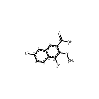 COc1c(C(=O)O)cc2cc(Br)ccc2c1Br